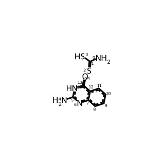 NC(=S)S.Nc1nc2ccccc2c(=O)[nH]1